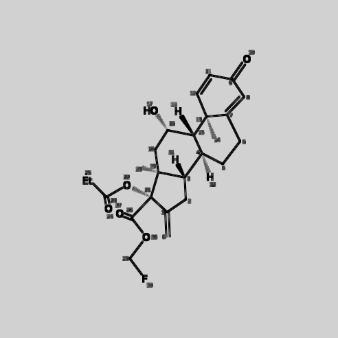 C=C1C[C@H]2[C@@H]3CCC4=CC(=O)C=C[C@]4(C)[C@H]3[C@@H](O)C[C@]2(C)[C@]1(OC(=O)CC)C(=O)OCF